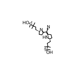 CC(C)(CC[C@@H]1CCC(/C(C#N)=C2/CC[C@@H](CCC(C)(C)[Si](C)(C)O)N2)=N1)[Si](C)(C)O